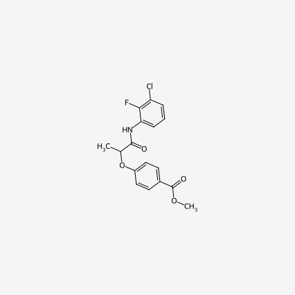 COC(=O)c1ccc(OC(C)C(=O)Nc2cccc(Cl)c2F)cc1